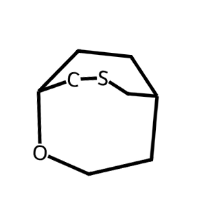 C1CC2CCC(CSC2)O1